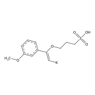 COc1[c]ccc(C(=[CH][K])OCCCS(=O)(=O)O)c1